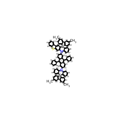 Cc1ccc([Si]2(c3ccc(C)cc3)c3ccccc3N(c3ccc4c(-c5ccccc5)c5cc(N6c7ccccc7[Si](c7ccc(C)cc7)(c7ccc(C)cc7)c7cc8c(cc76)sc6ccccc68)ccc5c(-c5ccccc5)c4c3)c3ccccc32)cc1